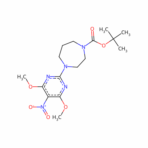 COc1nc(N2CCCN(C(=O)OC(C)(C)C)CC2)nc(OC)c1[N+](=O)[O-]